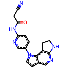 N#CCC(=O)Nc1ccc(-n2ccc3cnc4c(c32)CCN4)cn1